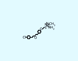 Cc1nnc(SCCOc2ccc(C=CC(=O)C=Cc3ccc(Cl)cc3)cc2)n1N